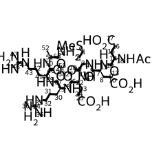 CSCC[C@H](NC(=O)[C@H](CCC(=O)O)NC(=O)[C@H](CCC(=O)O)NC(C)=O)C(=O)N[C@@H](CCC(=O)O)C(=O)N[C@@H](CCCNC(=N)N)C(=O)N[C@@H](CCCNC(=N)N)C(=O)N[C@@H](C)C(N)=O